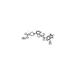 CCOc1nc(NC(=O)N2CCc3c(N4C[C@@H](C)N(C(=O)OC(C)(C)C)[C@@H](C)C4)ccnc32)cn2nc(C)nc12